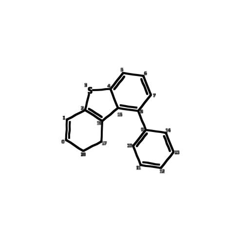 C1=Cc2sc3cccc(-c4ccccc4)c3c2CC1